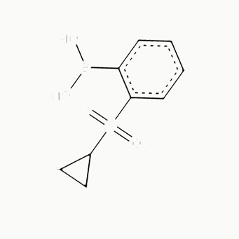 O=S(=O)(c1ccccc1B(O)O)C1CC1